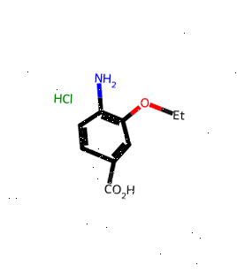 CCOc1cc(C(=O)O)ccc1N.Cl